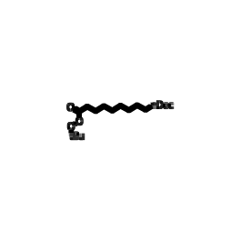 CCCCCCCCCCCCCCCCCCC(=O)OOC(C)(C)C